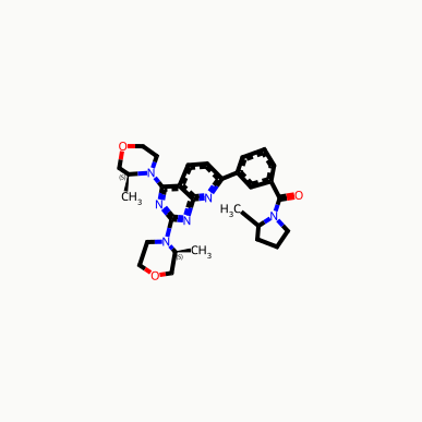 CC1CCCN1C(=O)c1cccc(-c2ccc3c(N4CCOC[C@@H]4C)nc(N4CCOC[C@@H]4C)nc3n2)c1